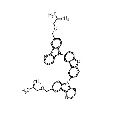 C=C(C)COCc1ccc2c(c1)c1ncccc1n2-c1ccc2oc3ccc(-n4c5ccc(COCC(=C)C)cc5c5ncccc54)cc3c2c1